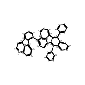 c1ccc(-c2c3c(c(-c4ccccc4)c4ccccc24)-c2ccc(-c4cccc5c4-c4cccc6nccc-5c46)c4cccc-3c24)cc1